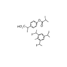 CC(I)C(=O)Oc1ccc(C(I)C(=O)O)cc1.Cc1c(C(C)I)cc(C(C)I)cc1C(C)I